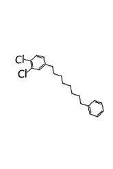 Clc1ccc(CCCCCCCCc2ccccc2)cc1Cl